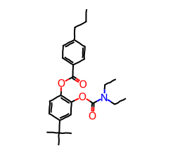 CCCc1ccc(C(=O)Oc2ccc(C(C)(C)C)cc2OC(=O)N(CC)CC)cc1